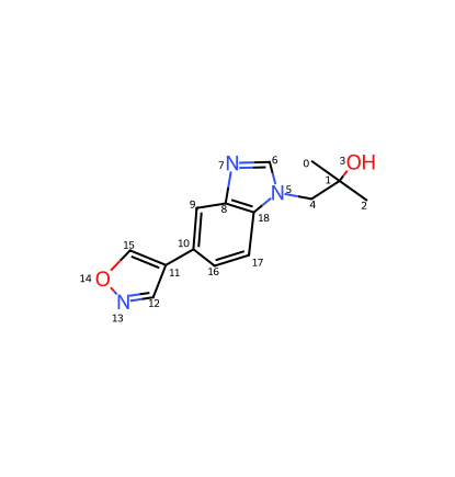 CC(C)(O)Cn1cnc2cc(-c3cnoc3)ccc21